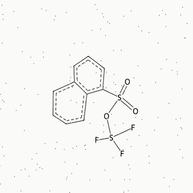 O=S(=O)(OS(F)(F)F)c1cccc2ccccc12